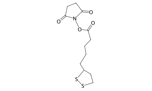 O=C(CCCCC1CCSS1)ON1C(=O)CCC1=O